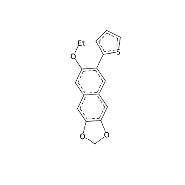 CCOc1cc2cc3c(cc2cc1-c1cccs1)OCO3